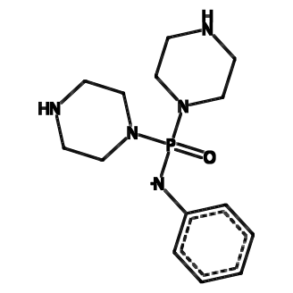 O=P([N]c1ccccc1)(N1CCNCC1)N1CCNCC1